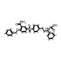 NC(=O)c1cc(S(=O)(=O)c2ccc(CCC(NC(=O)O)c3ccccc3)cc2)ccc1OCc1ccccc1